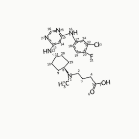 CN(CCCC(=O)O)[C@H]1CC[C@H](Nc2cc(Nc3ccc(F)c(Cl)c3)ncn2)CC1